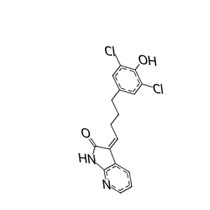 O=C1Nc2ncccc2/C1=C/CCCc1cc(Cl)c(O)c(Cl)c1